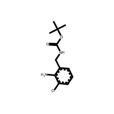 CC(C)(C)OC(=O)NCc1cccc(Cl)c1N